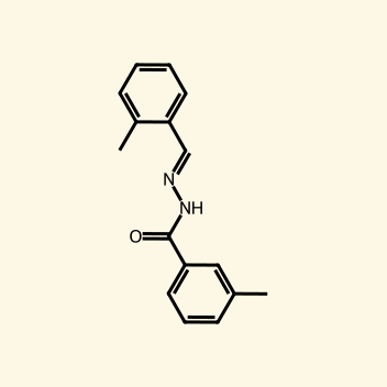 Cc1cccc(C(=O)NN=Cc2ccccc2C)c1